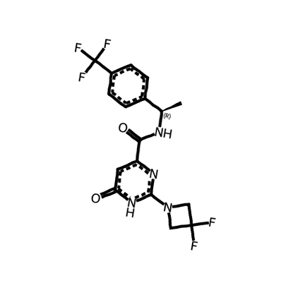 C[C@@H](NC(=O)c1cc(=O)[nH]c(N2CC(F)(F)C2)n1)c1ccc(C(F)(F)F)cc1